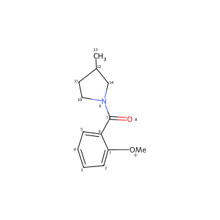 COc1ccccc1C(=O)N1CCC(C)C1